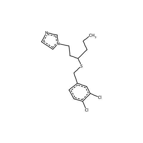 CCCC(CCn1ccnc1)SCc1ccc(Cl)c(Cl)c1